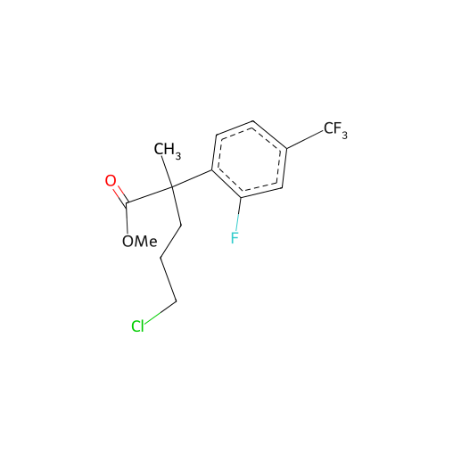 COC(=O)C(C)(CCCCl)c1ccc(C(F)(F)F)cc1F